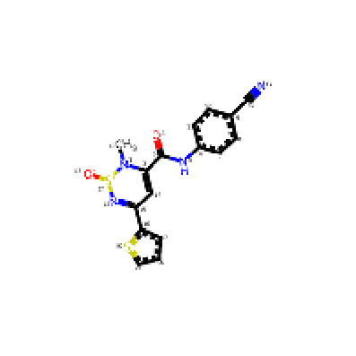 CN1C(C(=O)Nc2ccc(C#N)cc2)=CC(c2cccs2)=N[S+]1[O-]